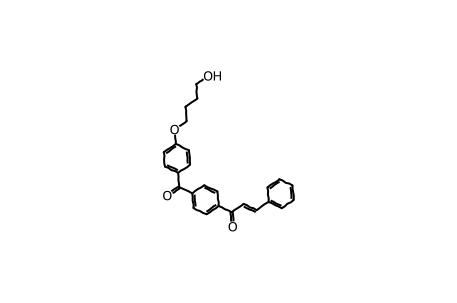 O=C(C=Cc1ccccc1)c1ccc(C(=O)c2ccc(OCCCCO)cc2)cc1